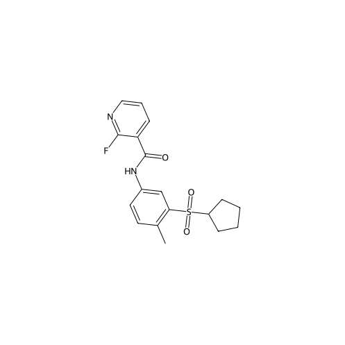 Cc1ccc(NC(=O)c2cccnc2F)cc1S(=O)(=O)C1CCCC1